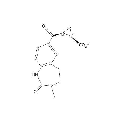 CC1CCc2cc(C(=O)[C@H]3C[C@H]3C(=O)O)ccc2NC1=O